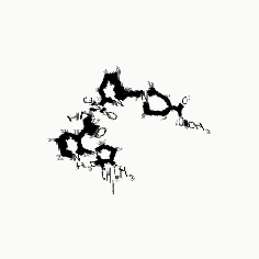 COC(=O)C1CCN(c2cccc(S(=O)(=O)NC(=O)c3cccnc3N3CCC(C)C3(C)C)n2)CC1